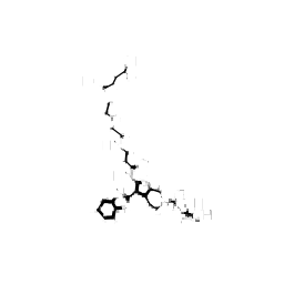 CC(CCC(=O)O)OCCOCCNCCC(=O)Nc1sc2c(c1-c1nc3ccccc3s1)CCN(C(=O)OC(C)(C)C)C2